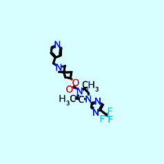 C[C@@H]1CN(c2cnc(C(F)(F)F)cn2)C[C@@H](C)N1C(=O)OC1CC2(C1)CN(Cc1ccncc1)C2